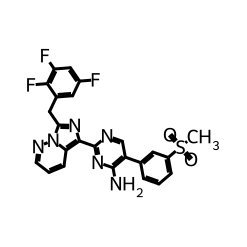 CS(=O)(=O)c1cccc(-c2cnc(-c3nc(Cc4cc(F)cc(F)c4F)n4ncccc34)nc2N)c1